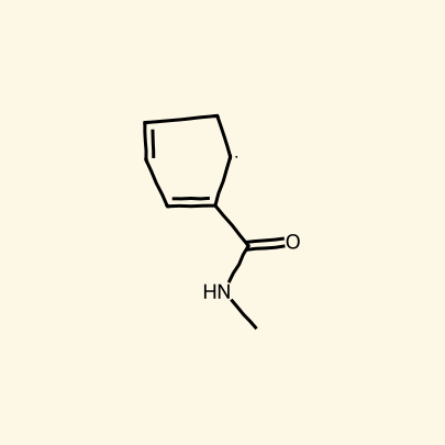 CNC(=O)C1=CC=CC[CH]1